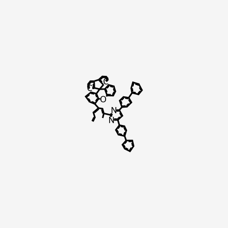 C=C/C=C(\C=C(/C)c1nc(-c2ccc(-c3ccccc3)cc2)cc(-c2ccc(-c3ccccc3)cc2)n1)c1cccc2c1Oc1ccccc1C21c2ccccc2-c2ccccc21